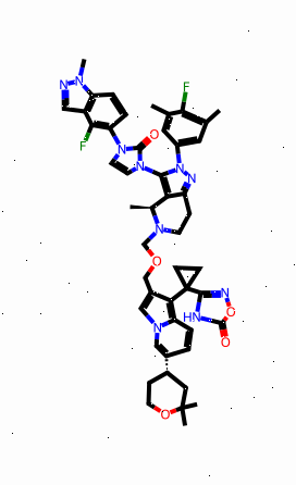 Cc1cc(-n2nc3c(c2-n2ccn(-c4ccc5c(cnn5C)c4F)c2=O)[C@H](C)N(COCc2cn4cc([C@H]5CCOC(C)(C)C5)ccc4c2C2(c4noc(=O)[nH]4)CC2)CC3)cc(C)c1F